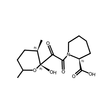 CC1CC[C@@H](C)[C@](O)(C(=O)C(=O)N2CCCC[C@H]2C(=O)O)O1